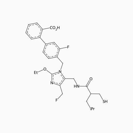 CCOc1nc(CF)c(CNC(=O)C(CS)CC(C)C)n1Cc1ccc(-c2ccccc2C(=O)O)cc1F